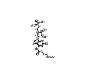 CCCCCCCCCCCCOC(=O)Nc1nc(Cl)nc2c1ncn2C1OC(CCP(=O)(O)O)C(O)C1O